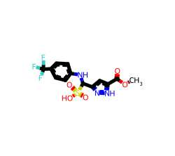 COC(=O)c1cc(C(Nc2ccc(C(F)(F)F)cc2)S(=O)(=O)O)n[nH]1